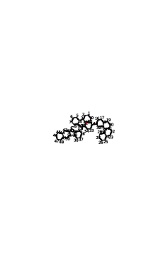 c1ccc(-c2ccccc2N(c2ccc(-c3ccc4ccc5ccc6ccccc6c5c4c3)cc2)c2cccc3c2sc2cc4ccccc4cc23)cc1